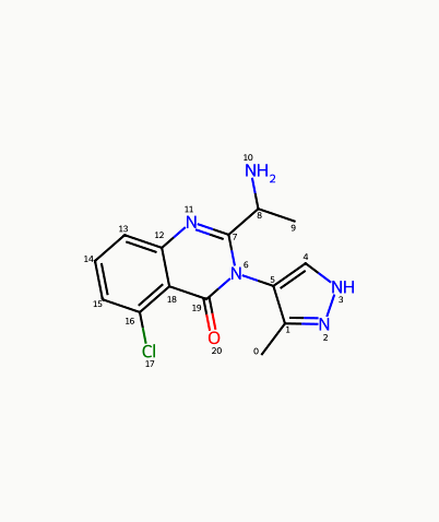 Cc1n[nH]cc1-n1c(C(C)N)nc2cccc(Cl)c2c1=O